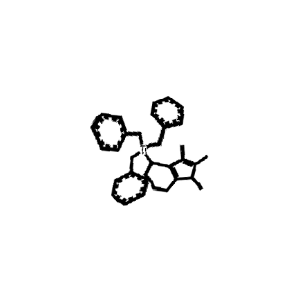 CC1=C(C)C(C)C2=C1[CH]([Ti]([CH2]c1ccccc1)([CH2]c1ccccc1)[CH2]c1ccccc1)CCC2